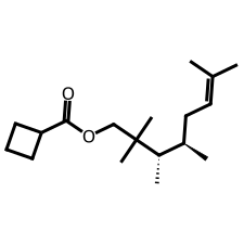 CC(C)=CC[C@@H](C)[C@H](C)C(C)(C)COC(=O)C1CCC1